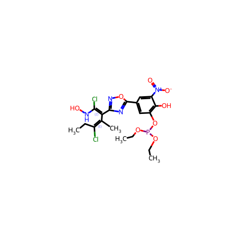 CCOP(OCC)Oc1cc(-c2nc(C(=C(\Cl)NO)/C(C)=C(/Cl)CC)no2)cc([N+](=O)[O-])c1O